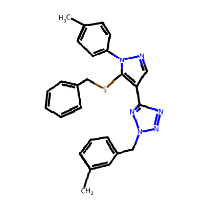 Cc1ccc(-n2ncc(-c3nnn(Cc4cccc(C)c4)n3)c2SCc2ccccc2)cc1